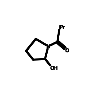 CC(C)C(=O)N1CCCC1O